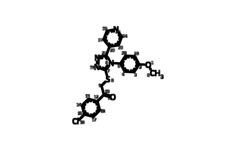 COc1ccc(-n2c(SCC(=O)c3ccc(Cl)cc3)nnc2-c2ccncc2)cc1